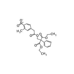 CCOC(=O)C(COC(=O)Cc1ccc([N+](=O)[O-])c(C)c1)(C(=O)OCC)c1ccccc1